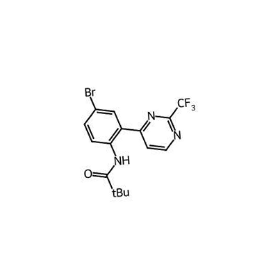 CC(C)(C)C(=O)Nc1ccc(Br)cc1-c1ccnc(C(F)(F)F)n1